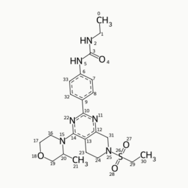 CCNC(=O)Nc1ccc(-c2nc3c(c(N4CCOCC4C)n2)CCN(S(=O)(=O)CC)C3)cc1